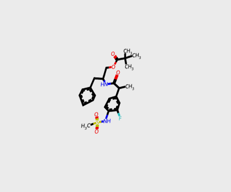 CC(C(=O)NC(COC(=O)C(C)(C)C)Cc1ccccc1)c1ccc(NS(C)(=O)=O)c(F)c1